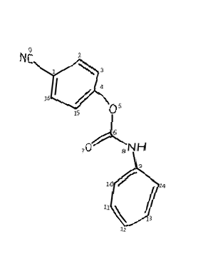 N#Cc1ccc(OC(=O)Nc2ccccc2)cc1